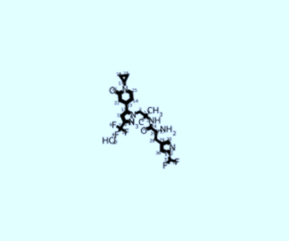 CC(C)(Cn1nc(C(F)(F)F)cc1-c1ccn(C2CC2)c(=O)c1)NC(=O)[C@H](N)Cc1cnn(C(F)F)c1.Cl